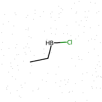 CCBCl